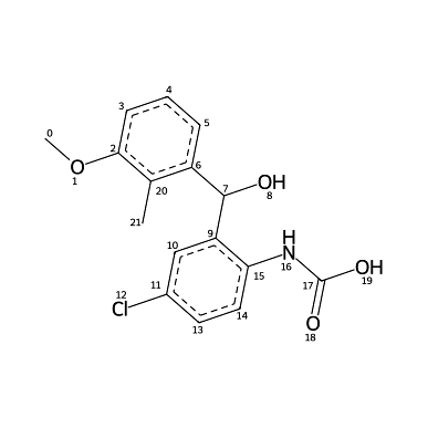 COc1cccc(C(O)c2cc(Cl)ccc2NC(=O)O)c1C